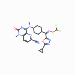 CN(c1nc(=O)n(C)c2ccc(C#N)nc12)C1CCC(/C(=N/OC(F)F)c2nnc(C3CC3)o2)CC1